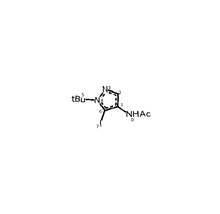 CC(=O)Nc1cnn(C(C)(C)C)c1I